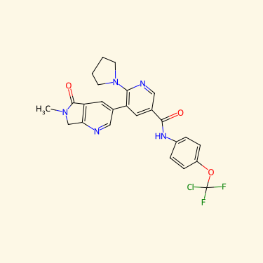 CN1Cc2ncc(-c3cc(C(=O)Nc4ccc(OC(F)(F)Cl)cc4)cnc3N3CCCC3)cc2C1=O